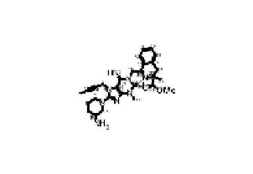 CC#CCn1c(N2CCCC(N)C2)nc2c1c(=N)n(CC1=NC(C)(C(=O)OC)Cc3ccccc31)c(=O)n2C